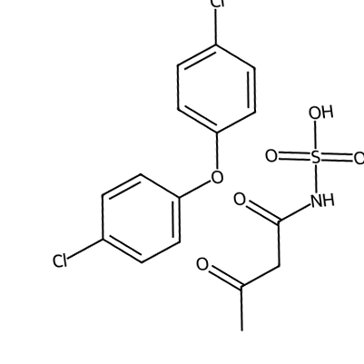 CC(=O)CC(=O)NS(=O)(=O)O.Clc1ccc(Oc2ccc(Cl)cc2)cc1